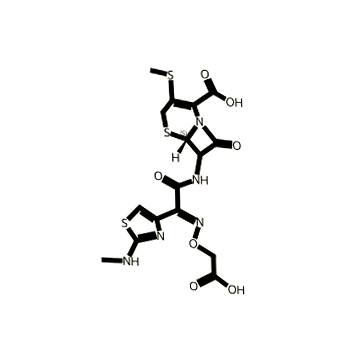 CNc1nc(C(=NOCC(=O)O)C(=O)NC2C(=O)N3C(C(=O)O)=C(SC)CS[C@@H]23)cs1